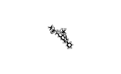 CC(C)(C)OC(=O)NCCCC(Cc1cn(C2C=CCCC2)cn1)C(=O)OC(C)(C)C